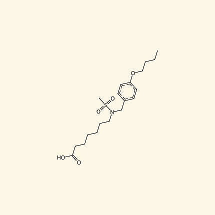 CCCCOc1ccc(CN(CCCCCCC(=O)O)S(C)(=O)=O)cc1